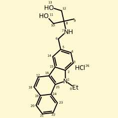 CCn1c2ccc(CNC(C)(CO)CO)cc2c2ccc3ccccc3c21.Cl